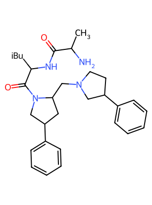 CCC(C)C(NC(=O)C(C)N)C(=O)N1CC(c2ccccc2)CC1CN1CCC(c2ccccc2)C1